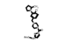 CSNc1ccn(C(=O)N2CCN(Cc3ccc(Cl)c(N4CCCC4C)c3)CC2)n1